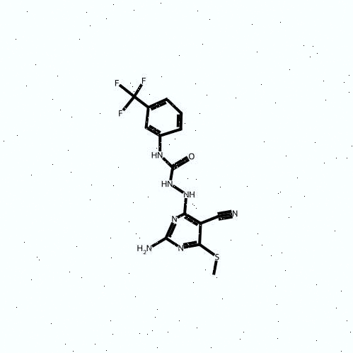 CSc1nc(N)nc(NNC(=O)Nc2cccc(C(F)(F)F)c2)c1C#N